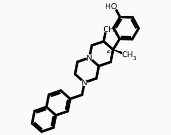 CC1CN2CCN(Cc3ccc4ccccc4c3)CC2C[C@@]1(C)c1cccc(O)c1